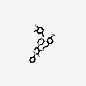 COc1ccc(CCOc2c(N3CCN(Cc4ccc(F)c(C)c4)CC3)cnn(-c3ccccc3)c2=O)cc1